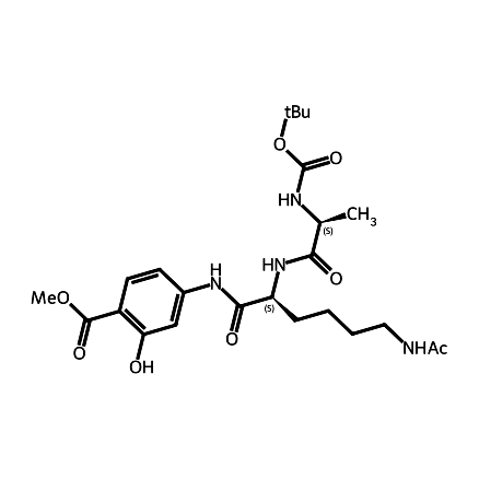 COC(=O)c1ccc(NC(=O)[C@H](CCCCNC(C)=O)NC(=O)[C@H](C)NC(=O)OC(C)(C)C)cc1O